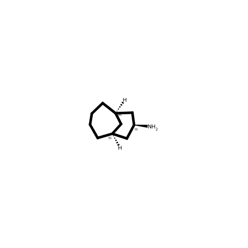 N[C@H]1C[C@H]2CCCC[C@@H](C1)C2